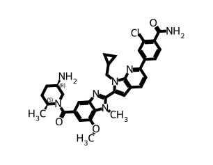 COc1cc(C(=O)N2C[C@H](N)CC[C@@H]2C)cc2nc(-c3cc4ccc(-c5ccc(C(N)=O)c(Cl)c5)nc4n3CC3CC3)n(C)c12